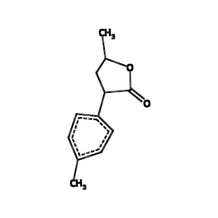 Cc1ccc(C2CC(C)OC2=O)cc1